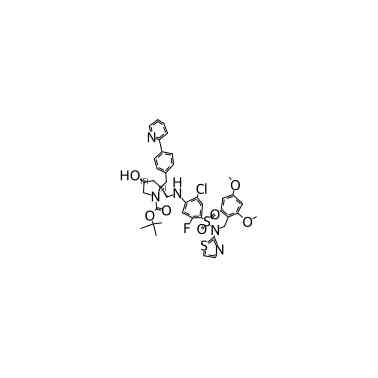 COc1ccc(CN(c2nccs2)S(=O)(=O)c2cc(Cl)c(NC[C@]3(Cc4ccc(-c5ccccn5)cc4)C[C@H](O)CN3C(=O)OC(C)(C)C)cc2F)c(OC)c1